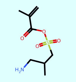 C=C(C)C(=O)OS(=O)(=O)CC(C)CN